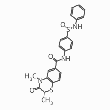 CC1Sc2ccc(C(=O)Nc3ccc([S+]([O-])Nc4ccccc4)cc3)cc2N(C)C1=O